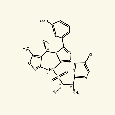 COc1cccc(-c2nnc(NS(=O)(=O)[C@@H](C)[C@H](C)c3ncc(Cl)cn3)n2[C@H](C)c2c(C)noc2C)n1